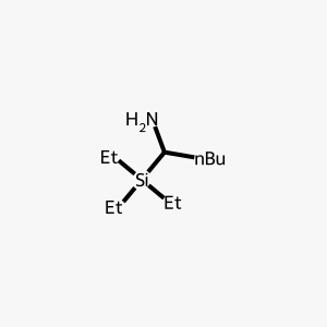 CCCCC(N)[Si](CC)(CC)CC